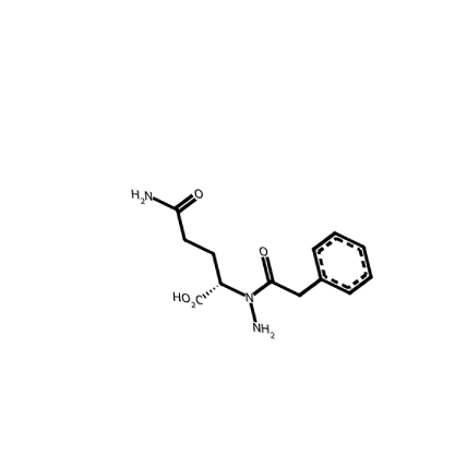 NC(=O)CC[C@@H](C(=O)O)N(N)C(=O)Cc1ccccc1